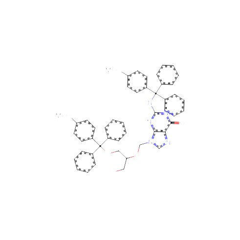 COc1ccc(C(Nc2nc3c(ncn3COC(CO)COC(c3ccccc3)(c3ccccc3)c3ccc(OC)cc3)c(=O)[nH]2)(c2ccccc2)c2ccccc2)cc1